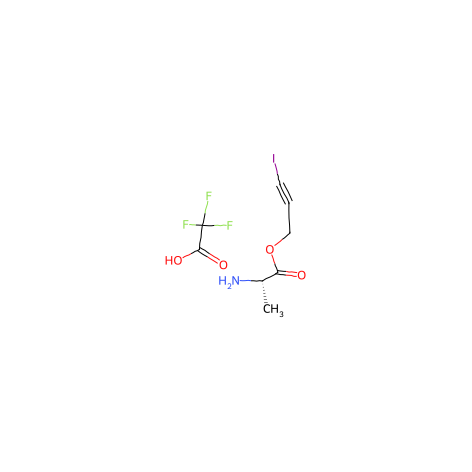 C[C@H](N)C(=O)OCC#CI.O=C(O)C(F)(F)F